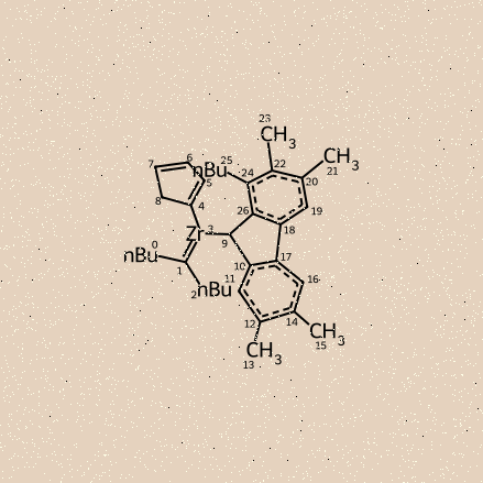 CCCC[C](CCCC)=[Zr]([C]1=CC=CC1)[CH]1c2cc(C)c(C)cc2-c2cc(C)c(C)c(CCCC)c21